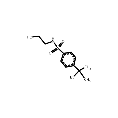 CCC(C)(C)c1ccc(S(=O)(=O)NCCO)cc1